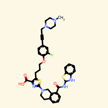 CN1CCN(CC#Cc2ccc(OCCCc3sc(N4CCc5cccc(C(=O)NC6Nc7ccccc7S6)c5C4)nc3C(=O)O)c(F)c2)CC1